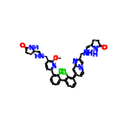 COc1nc(-c2cccc(-c3cccc(-c4ccn5cc(CNC[C@H]6CCC(=O)N6)nc5c4)c3Cl)c2Cl)ccc1CNC[C@H]1CCC(=O)N1